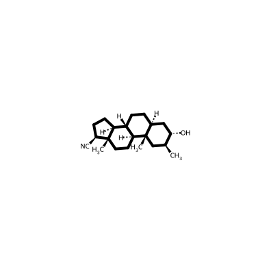 C[C@H]1C[C@@]2(C)[C@@H](CC[C@@H]3[C@@H]2CC[C@]2(C)[C@@H](C#N)CC[C@@H]32)C[C@@H]1O